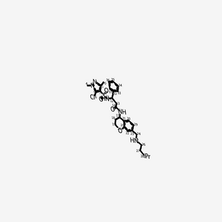 Cc1nn(C)c(Cl)c1S(=O)(=O)NC(CC(=O)NC1CCOc2cc(CNCCC(C)C)ccc21)c1ccccc1